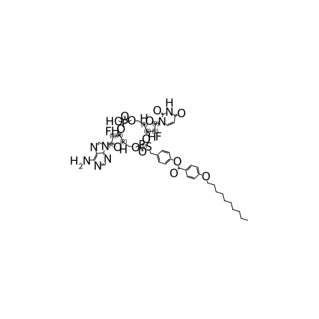 CCCCCCCCCCOc1ccc(C(=O)Oc2ccc(CS[P@@]3(=O)OC[C@H]4O[C@@H](n5cnc6c(N)ncnc65)[C@H](F)[C@@H]4OP(=O)(O)OC[C@H]4O[C@@H](n5ccc(=O)[nH]c5=O)[C@H](F)[C@@H]4O3)cc2)cc1